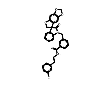 O=C(NCCc1cccc(Cl)c1)c1cccc(CN2C(=O)C3(COc4cc5c(cc43)OCO5)c3ccccc32)c1